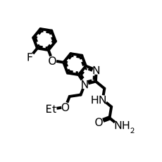 CCOCCn1c(CNCC(N)=O)nc2ccc(Oc3ccccc3F)cc21